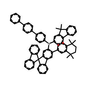 CC1(C)CCC(C)(C)c2cc(-c3cc4c(cc3N(c3ccc(-c5ccc(-c6ccccc6)cc5)cc3)c3ccc5c(c3)C(C)(C)c3ccccc3-5)C3(c5ccccc5-c5ccccc53)c3ccccc3-4)ccc21